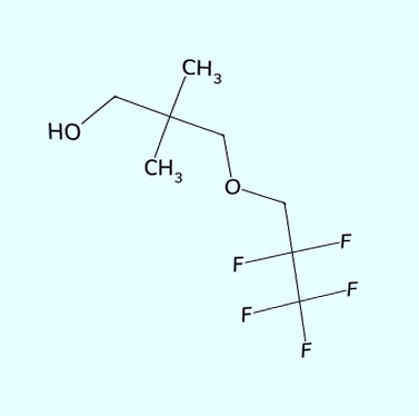 CC(C)(CO)COCC(F)(F)C(F)(F)F